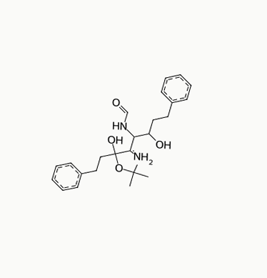 CC(C)(C)OC(O)(CCc1ccccc1)[C](N)C(NC=O)C(O)CCc1ccccc1